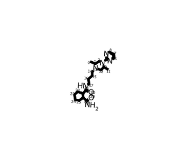 CC1CN(c2ncccn2)C(C)CN1CCCCNC(=O)C1CCCCC1C(N)=O